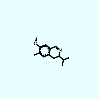 COc1cc2c(cc1C)CC(C(C)C)N=C2